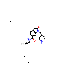 C#CCNC(=O)c1ccc2c(c1)N(CC1CCNCC1)C(=O)C2